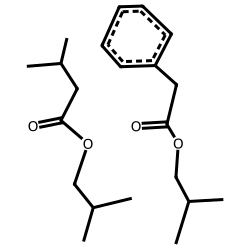 CC(C)COC(=O)CC(C)C.CC(C)COC(=O)Cc1ccccc1